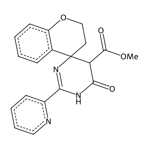 COC(=O)C1C(=O)NC(c2ccccn2)=NC12CCOc1ccccc12